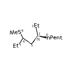 CCCCC[C@H](CC)CC(CC)SC